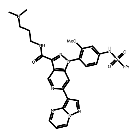 CCCS(=O)(=O)Nc1ccc(-n2nc(C(=O)NCCCN(C)C)c3cnc(-c4cnn5cccnc45)cc32)c(OC)c1